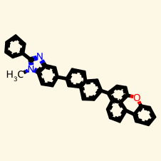 Cn1c(-c2ccccc2)nc2cc(-c3ccc4cc(-c5ccc6c7c(cccc57)-c5ccccc5O6)ccc4c3)ccc21